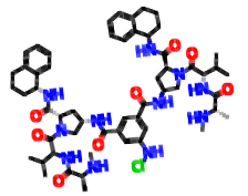 CN[C@@H](C)C(=O)N[C@H](C(=O)N1C[C@@H](NC(=O)c2cc(NCl)cc(C(=O)N[C@H]3C[C@@H](C(=O)N[C@@H]4CCCc5ccccc54)N(C(=O)[C@@H](NC(=O)[C@H](C)NC)C(C)C)C3)c2)C[C@H]1C(=O)N[C@@H]1CCCc2ccccc21)C(C)C